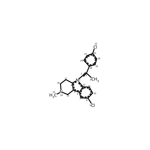 C/C(=C\n1c2c(c3cc(Cl)ccc31)CN(C)CC2)c1ccc(Cl)cc1